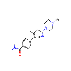 Cc1cc(N2CCN(C(C)C)CC2)ncc1-c1ccc(C(=O)N(C)C)cc1